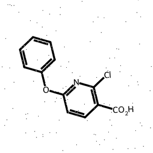 O=C(O)c1ccc(Oc2ccccc2)nc1Cl